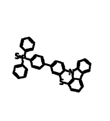 S=P(c1ccccc1)(c1ccccc1)c1ccc(-c2ccc3c(c2)Sc2cccc4c5ccccc5n-3c24)cc1